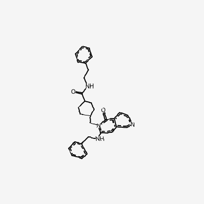 O=C(NCCc1ccccc1)C1CCC(Cn2c(NCc3ccccc3)cc3cnccc3c2=O)CC1